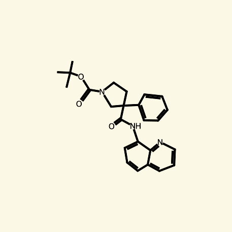 CC(C)(C)OC(=O)N1CCC(C(=O)Nc2cccc3cccnc23)(c2ccccc2)C1